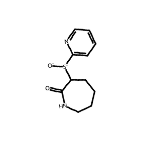 O=C1NCCCCC1[S+]([O-])c1ccccn1